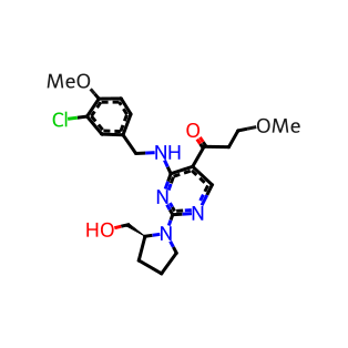 COCCC(=O)c1cnc(N2CCC[C@H]2CO)nc1NCc1ccc(OC)c(Cl)c1